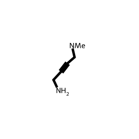 CNCC#CCN